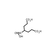 N#CC(CCC(=O)O)CCC(=O)O.O=NO